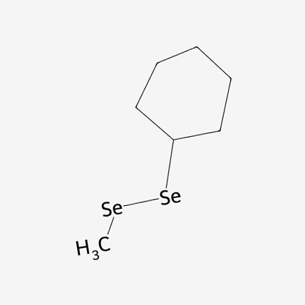 C[Se][Se]C1CCCCC1